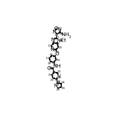 CCn1c(-c2nonc2N)nc2cnc(Oc3cccc(NC(=O)c4ccc(-n5cccn5)nc4)c3)cc21